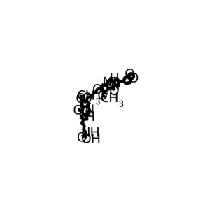 COc1cc2c(cc1OCCCOc1cc3c(cc1OC)C(=O)N1C=C(c4ccc5c(c4)OCO5)C[C@H]1C=N3)N=C[C@@H]1CC(/C=C/CNC(=O)O)=CN1C2=O